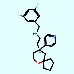 Fc1cc(F)cc(CNCC[C@]2(c3ccncc3)CCOC3(CCCC3)C2)c1